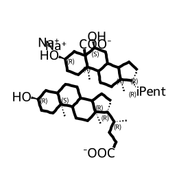 CCC[C@@H](C)[C@H]1CCC2C3C[C@H](O)C4(C(=O)[O-])C[C@H](O)CC[C@]4(C)C3CC[C@@]21C.C[C@H](CCC(=O)[O-])[C@H]1CCC2C3CCC4C[C@H](O)CC[C@]4(C)C3CC[C@@]21C.[Na+].[Na+]